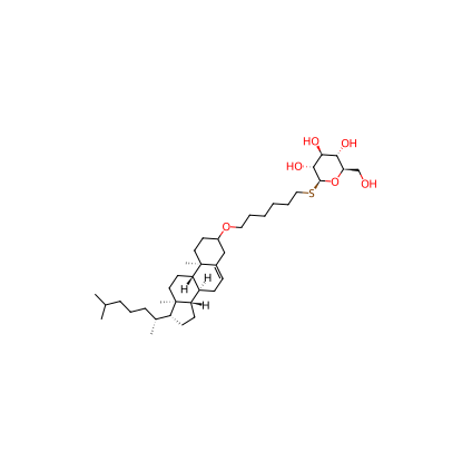 CC(C)CCC[C@@H](C)[C@H]1CC[C@H]2[C@@H]3CC=C4CC(OCCCCCCS[C@@H]5O[C@H](CO)[C@@H](O)[C@H](O)[C@H]5O)CC[C@]4(C)[C@H]3CC[C@]12C